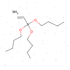 C=C[Si](OCCCC)(OCCCC)OCCCC.[SiH4]